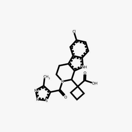 Cc1nnsc1C(=O)N1CCc2c([nH]c3ccc(Cl)cc23)C1C1(C(=O)O)CCC1